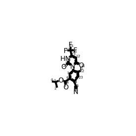 CC(C)OC(=O)c1cc(-n2c(=O)cc(C(F)(F)F)[nH]c2=O)c(F)cc1C#N